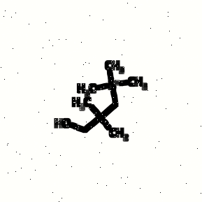 CC(C)(CO)C[N+](C)(C)C